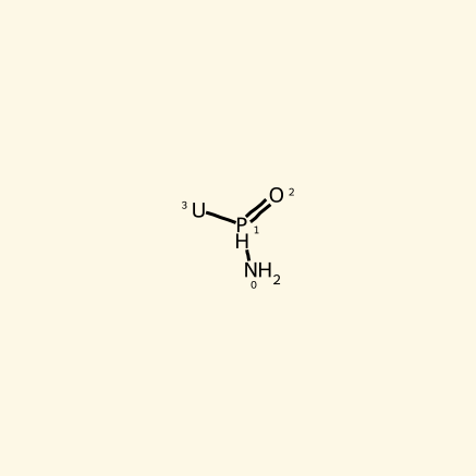 N[PH](=O)[U]